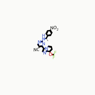 C[C@H](Nc1ncc(C#N)c(-c2cnc3c(OC(F)F)cccn23)n1)c1ccc([N+](=O)[O-])cc1